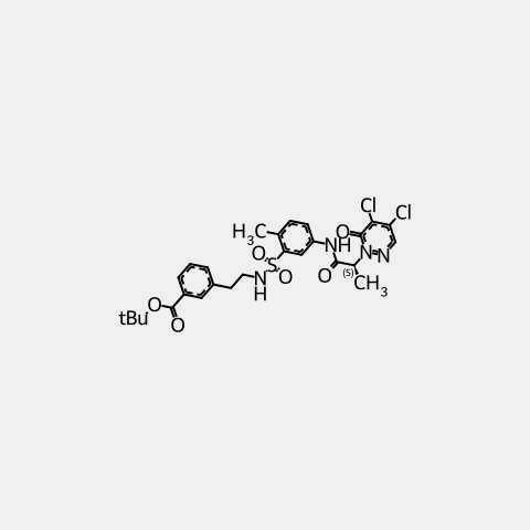 Cc1ccc(NC(=O)[C@H](C)n2ncc(Cl)c(Cl)c2=O)cc1S(=O)(=O)NCCc1cccc(C(=O)OC(C)(C)C)c1